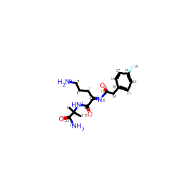 CC(C)(NC(=O)/C(CCCN)=N/C(=O)Cc1ccc(F)cc1)C(N)=O